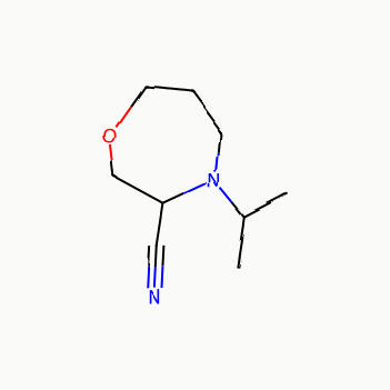 CC(C)N1CCCOCC1C#N